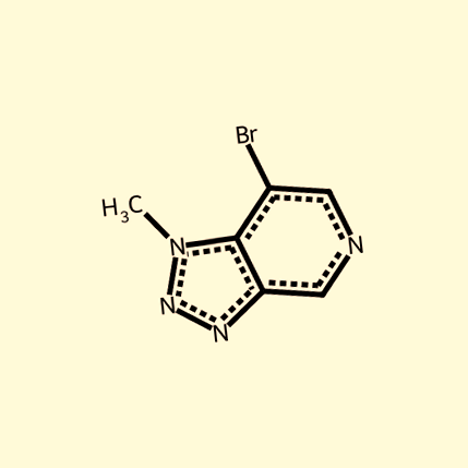 Cn1nnc2cncc(Br)c21